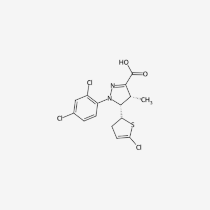 C[C@H]1C(C(=O)O)=NN(c2ccc(Cl)cc2Cl)[C@H]1C1CC=C(Cl)S1